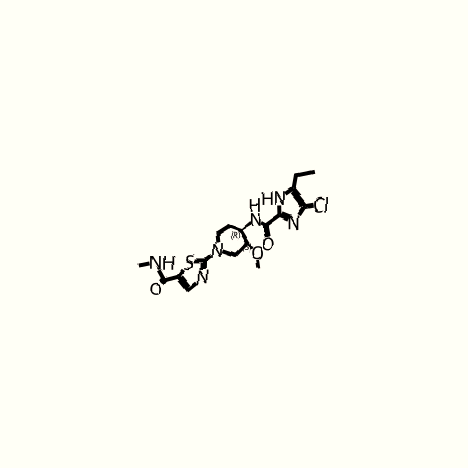 CCc1[nH]c(C(=O)N[C@@H]2CCN(c3ncc(C(=O)NC)s3)C[C@@H]2OC)nc1Cl